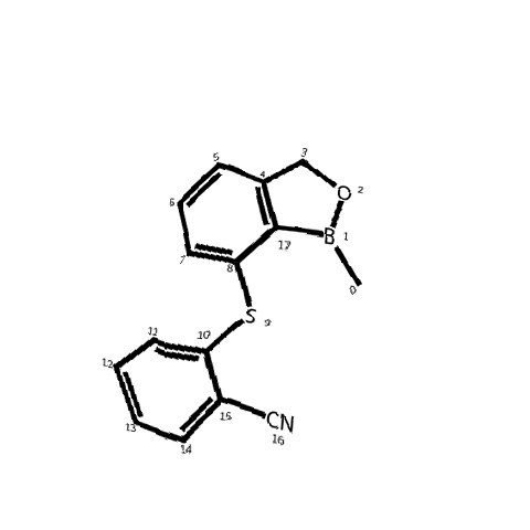 CB1OCc2cccc(Sc3ccccc3C#N)c21